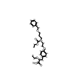 CCOC(=O)N(CCCOCc1ccccc1)CCOc1ccc(CC(OCC)C(=O)O)cc1